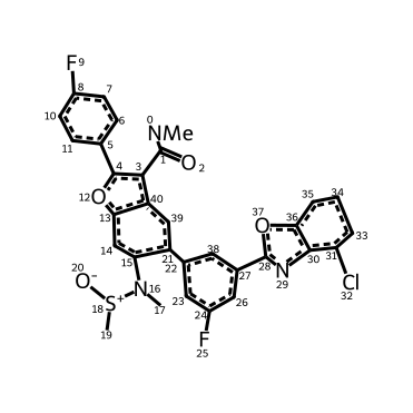 CNC(=O)c1c(-c2ccc(F)cc2)oc2cc(N(C)[S+](C)[O-])c(-c3cc(F)cc(-c4nc5c(Cl)cccc5o4)c3)cc12